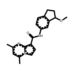 COC1CCc2ccc(NC(=O)c3ccn4c(C)cc(C)nc34)cc21